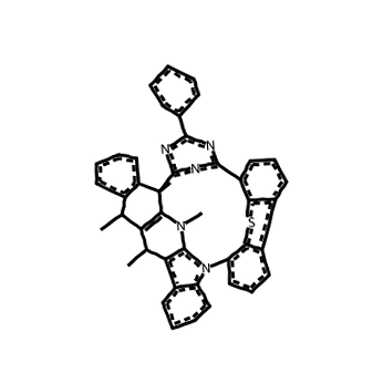 CC1C2=C3N(C)c4c(c5ccccc5n4-c4cccc5c4sc4c(cccc45)-c4nc(-c5ccccc5)nc(n4)C3(C)c3ccccc31)C2C